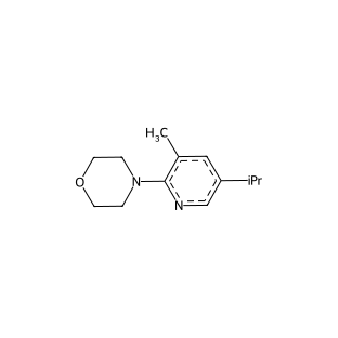 Cc1cc(C(C)C)cnc1N1CCOCC1